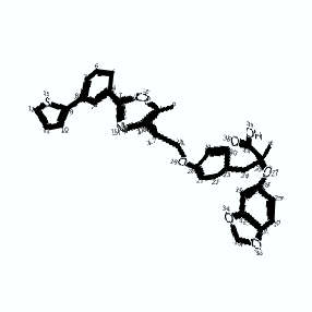 Cc1oc(-c2cccc(-c3cccs3)c2)nc1CCOC1=CCC(CC(C)(Oc2ccc3c(c2)OCO3)C(=O)O)C=C1